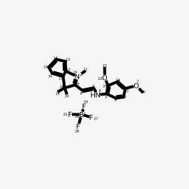 COc1ccc(NC=CC2=[N+](C)c3ccccc3C2(C)C)c(OC)c1.F[B-](F)(F)F